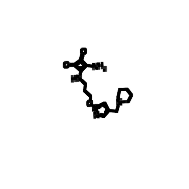 Nc1c(NCCCOn2cc(CN3CCCCC3)cn2)c(=O)c1=O